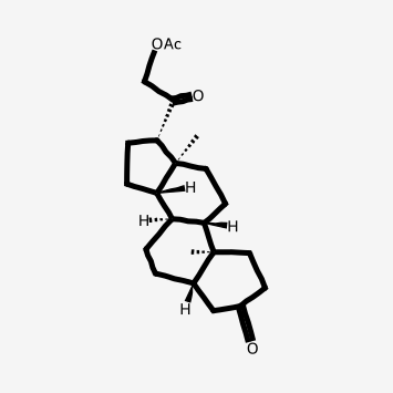 CC(=O)OCC(=O)[C@H]1CC[C@H]2[C@@H]3CC[C@H]4CC(=O)CC[C@]4(C)[C@H]3CC[C@]12C